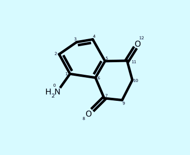 Nc1cc[c]c2c1C(=O)CCC2=O